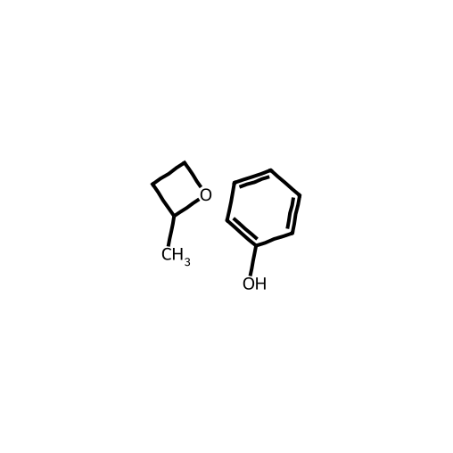 CC1CCO1.Oc1ccccc1